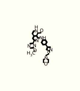 COc1cncc(-c2cc3c(c(Nc4ccc(-c5cnn(CCN6CCOCC6)c5)cc4)n2)C(C=O)NC=C3)n1